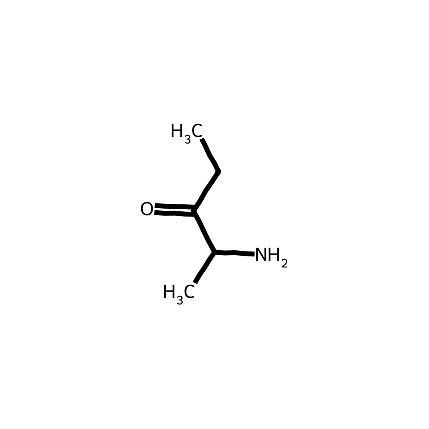 CCC(=O)C(C)N